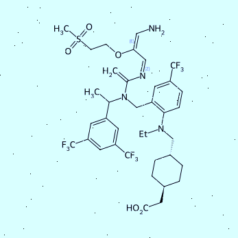 C=C(/N=C\C(=C/N)OCCS(C)(=O)=O)N(Cc1cc(C(F)(F)F)ccc1N(CC)C[C@H]1CC[C@H](CC(=O)O)CC1)C(C)c1cc(C(F)(F)F)cc(C(F)(F)F)c1